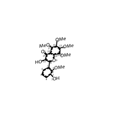 COc1c(O)cccc1-c1oc2c(OC)c(OC)c(OC)c(OC)c2c(=O)c1O